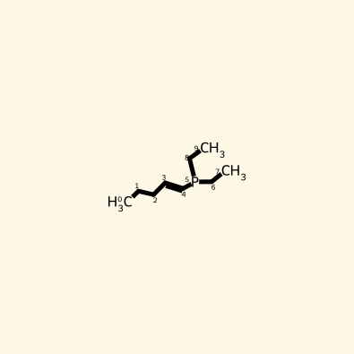 CCCC=CP(CC)CC